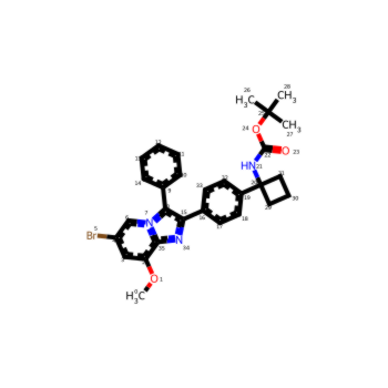 COc1cc(Br)cn2c(-c3ccccc3)c(-c3ccc(C4(NC(=O)OC(C)(C)C)CCC4)cc3)nc12